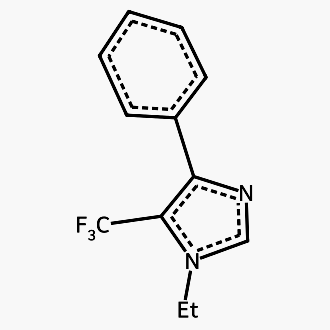 CCn1cnc(-c2ccccc2)c1C(F)(F)F